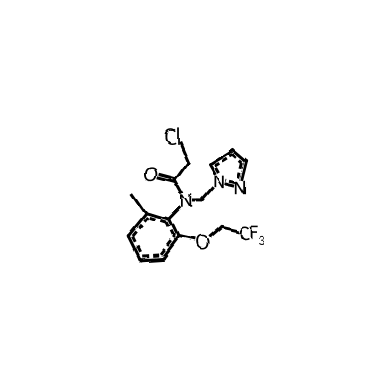 Cc1cccc(OCC(F)(F)F)c1N(Cn1cccn1)C(=O)CCl